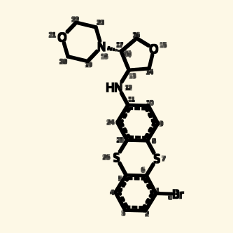 Brc1cccc2c1Sc1ccc(NC3COC[C@H]3N3CCOCC3)cc1S2